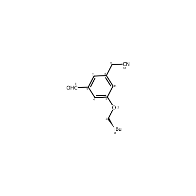 CC[C@H](C)COc1cc(C=O)cc(CC#N)c1